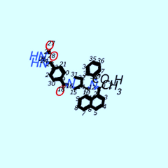 C[C@H](c1cccc2ccccc12)N(C[C@H]1CN(C(=O)c2ccc(C3NNC(=O)O3)cc2)C[C@@H]1c1ccccc1)C(=O)O